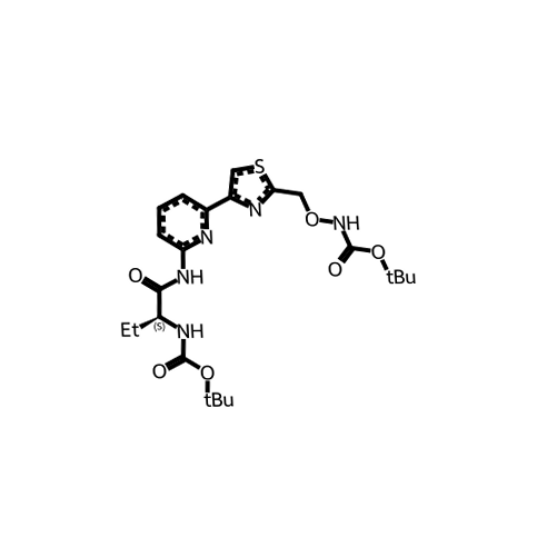 CC[C@H](NC(=O)OC(C)(C)C)C(=O)Nc1cccc(-c2csc(CONC(=O)OC(C)(C)C)n2)n1